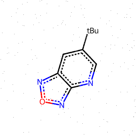 CC(C)(C)c1cnc2nonc2c1